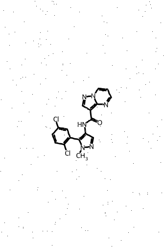 Cn1ncc(NC(=O)c2cnn3cccnc23)c1-c1cc(Cl)ccc1Cl